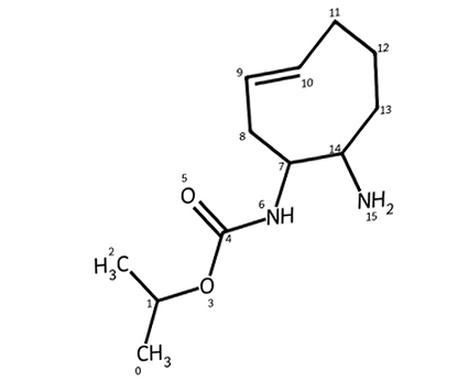 CC(C)OC(=O)NC1C/C=C/CCCC1N